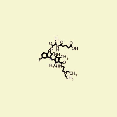 CCN(CC)CCNC(=O)C1=C(C)C(=N)C(/C=C2\C(=O)N(COC(=O)C(C)NC(=O)CCCC(=O)O)c3ccc(F)cc32)=C1C